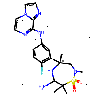 CN1C[C@@](C)(c2cc(Nc3nccn4ccnc34)ccc2F)NC(N)C(C)(C)S1(=O)=O